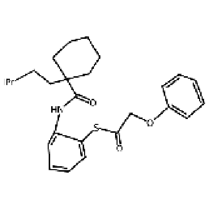 CC(C)CCC1(C(=O)Nc2ccccc2SC(=O)COc2ccccc2)CCCCC1